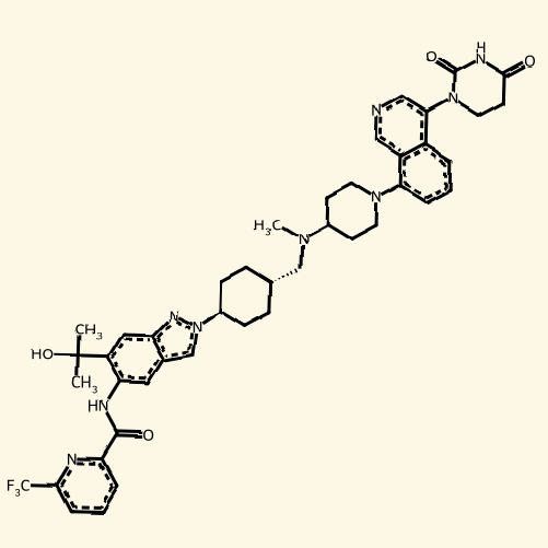 CN(C[C@H]1CC[C@H](n2cc3cc(NC(=O)c4cccc(C(F)(F)F)n4)c(C(C)(C)O)cc3n2)CC1)C1CCN(c2cccc3c(N4CCC(=O)NC4=O)cncc23)CC1